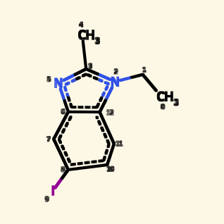 CCn1c(C)nc2cc(I)ccc21